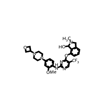 COc1cc(N2CCN(C3COC3)CC2)ccc1Nc1ncc(C(F)(F)F)c(Oc2cccc3c2C(O)N(C)C3)n1